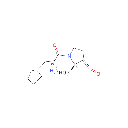 N[C@H](CC1CCCC1)C(=O)N1CCC(=C=O)[C@H]1C(=O)O